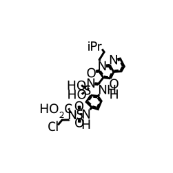 CC(C)CCn1c(=O)c(C2=NS(O)(O)c3cc(NS(=O)(=O)N(CCCl)C(=O)O)ccc3N2)c(O)c2cccnc21